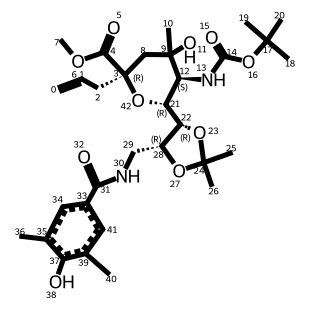 C=CC[C@]1(C(=O)OC)CC(C)(O)[C@@H](NC(=O)OC(C)(C)C)[C@H]([C@@H]2OC(C)(C)O[C@@H]2CNC(=O)c2cc(C)c(O)c(C)c2)O1